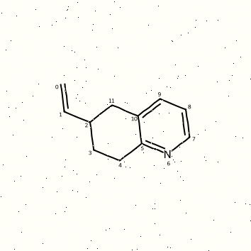 C=CC1CCc2ncccc2C1